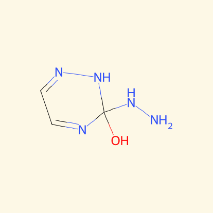 NNC1(O)N=CC=NN1